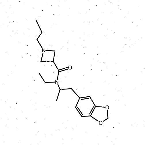 CCCN1CC(C(=O)N(CC)C(C)Cc2ccc3c(c2)OCO3)C1